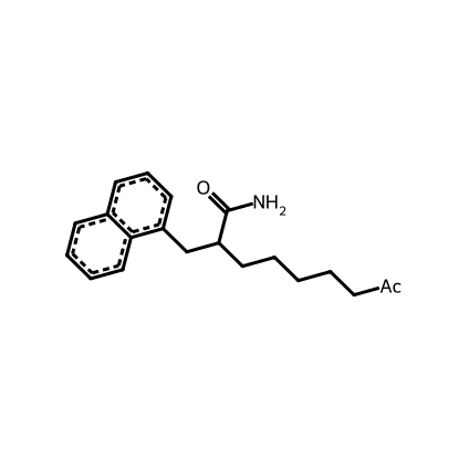 CC(=O)CCCCCC(Cc1cccc2ccccc12)C(N)=O